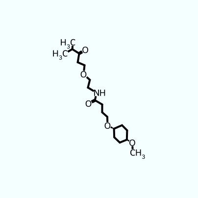 CO[C@H]1CC[C@@H](OCCCC(=O)NCCOCCC(=O)C(C)C)CC1